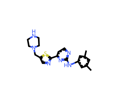 Cc1cc(C)cc(Nc2nccc(-c3ncc(CN4CCNCC4)s3)n2)c1